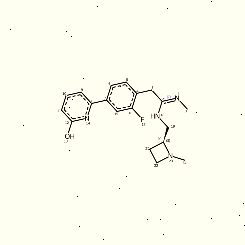 C/N=C(/Cc1ccc(-c2cccc(O)n2)cc1F)NC[C@@H]1CCN1C